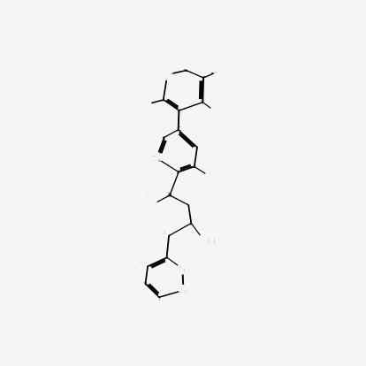 CC1=C(C)C(c2cnc(C(C)CC(C)CC3=CC=CNN3)c(C)c2)=C(C)OC1